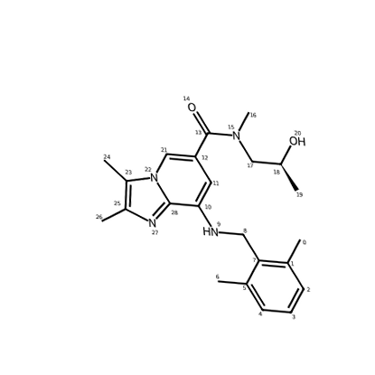 Cc1cccc(C)c1CNc1cc(C(=O)N(C)C[C@H](C)O)cn2c(C)c(C)nc12